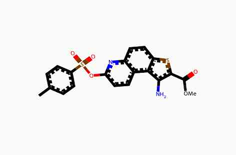 COC(=O)c1sc2ccc3nc(OS(=O)(=O)c4ccc(C)cc4)ccc3c2c1N